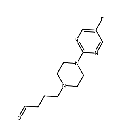 O=CCCCN1CCN(c2ncc(F)cn2)CC1